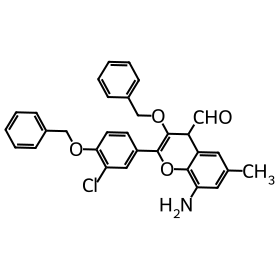 Cc1cc(N)c2c(c1)C(C=O)C(OCc1ccccc1)=C(c1ccc(OCc3ccccc3)c(Cl)c1)O2